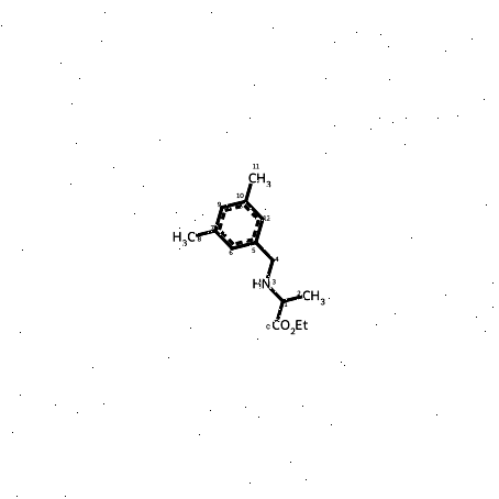 CCOC(=O)C(C)NCc1cc(C)cc(C)c1